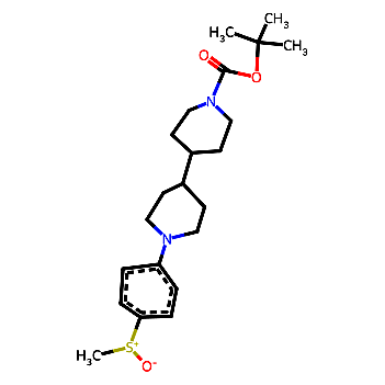 C[S+]([O-])c1ccc(N2CCC(C3CCN(C(=O)OC(C)(C)C)CC3)CC2)cc1